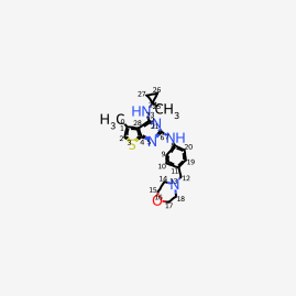 Cc1csc2nc(Nc3ccc(CN4CCOCC4)cc3)nc(NC3(C)CC3)c12